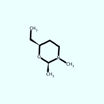 CC[C@H]1CCN(C)[C@@H](C)O1